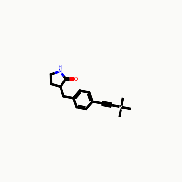 C[Si](C)(C)C#Cc1ccc(CC2CCNC2=O)cc1